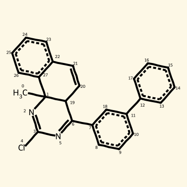 CC12N=C(Cl)N=C(c3cccc(-c4ccccc4)c3)C1C=Cc1ccccc12